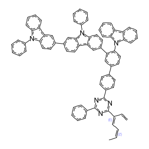 C=C/C(=C\C=C/C)c1nc(-c2ccccc2)nc(-c2ccc(-c3ccc(-n4c5ccccc5c5ccccc54)c(-c4ccc5c(c4)c4ccc(-c6ccc7c(c6)c6ccccc6n7-c6ccccc6)cc4n5-c4ccccc4)c3)cc2)n1